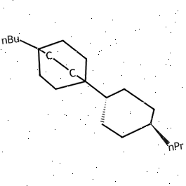 CCCCC12CCC([C@H]3CC[C@H](CCC)CC3)(CC1)CC2